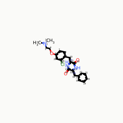 CN(C)CCOc1ccc(/C=c2\[nH]c(=O)/c(=C/c3ccccc3)[nH]c2=O)c(Cl)c1